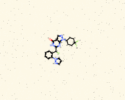 O=c1[nH]c(C(F)c2ccccc2-n2cccn2)nc2c1cnn2C1CCC(F)(F)CC1